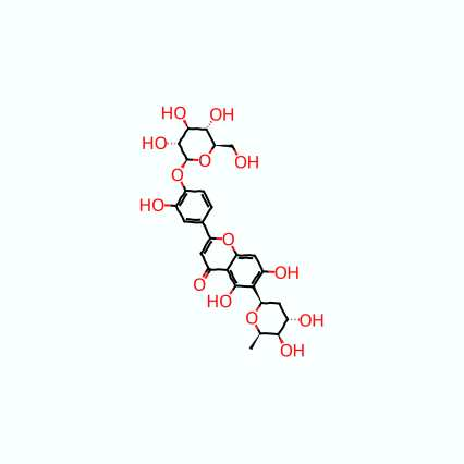 C[C@H]1O[C@@H](c2c(O)cc3oc(-c4ccc(O[C@@H]5O[C@H](CO)[C@@H](O)[C@H](O)[C@H]5O)c(O)c4)cc(=O)c3c2O)C[C@H](O)[C@H]1O